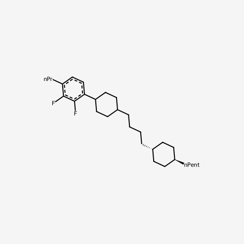 CCCCC[C@H]1CC[C@H](CCCCC2CCC(c3ccc(CCC)c(F)c3F)CC2)CC1